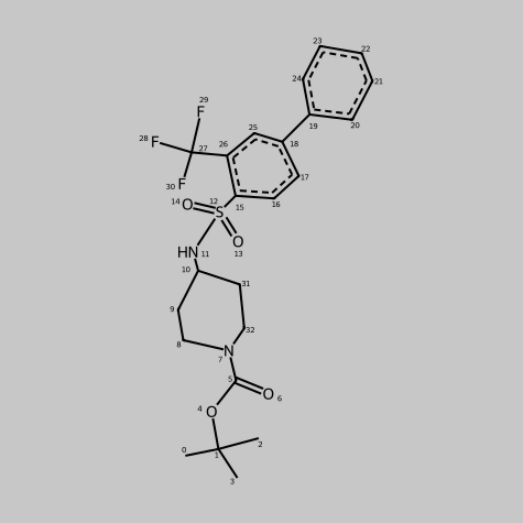 CC(C)(C)OC(=O)N1CCC(NS(=O)(=O)c2ccc(-c3ccccc3)cc2C(F)(F)F)CC1